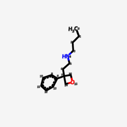 CCCCNCCC1(c2ccccc2)COC1